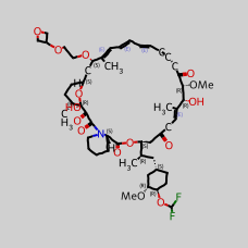 CO[C@@H]1C[C@H](C[C@@H](C)[C@@H]2CC(=O)C/C=C(\C)[C@@H](O)[C@@H](OC)C(=O)CCC/C=C/C=C/C=C(\C)[C@@H](OCCOC3COC3)C[C@@H]3CC[C@@H](C)[C@@](O)(O3)C(=O)C(=O)N3CCCC[C@H]3C(=O)O2)CC[C@H]1OC(F)F